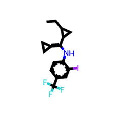 CCC1CC1C(Nc1ccc(C(F)(F)F)cc1I)=C1CC1